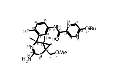 COC[C@]12C[C@H]1[C@@](C)(c1cc(NC(=O)c3cnc(OCC(C)C)cn3)ccc1F)N=C(N)S2